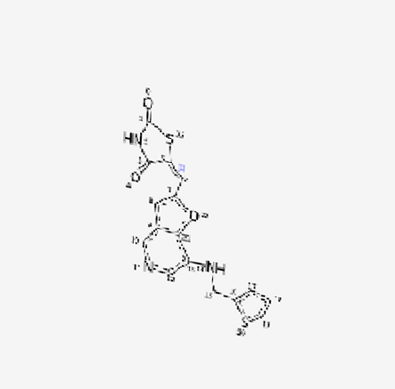 O=C1NC(=O)/C(=C\c2cc3cncc(NCc4cccs4)c3o2)S1